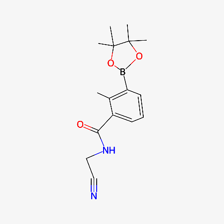 Cc1c(B2OC(C)(C)C(C)(C)O2)cccc1C(=O)NCC#N